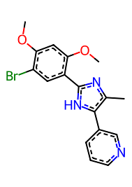 COc1cc(OC)c(-c2nc(C)c(-c3cccnc3)[nH]2)cc1Br